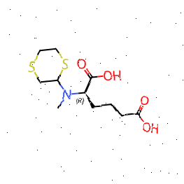 CN(C1CSCCS1)[C@H](CCCC(=O)O)C(=O)O